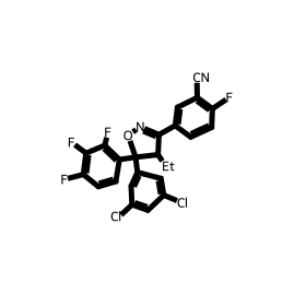 CCC1C(c2ccc(F)c(C#N)c2)=NOC1(c1cc(Cl)cc(Cl)c1)c1ccc(F)c(F)c1F